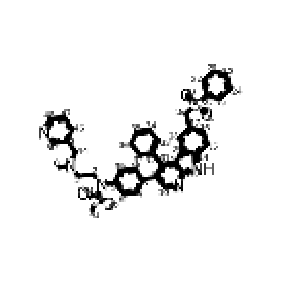 CN(CCN(c1ccc(-c2cnc3[nH]c4ccc(CS(=O)(=O)c5ccccc5)cc4c3c2C2=CC=CCC2)cc1)S(C)(=O)=O)Cc1cccnc1